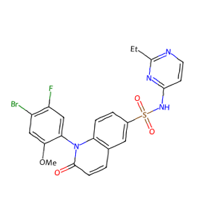 CCc1nccc(NS(=O)(=O)c2ccc3c(ccc(=O)n3-c3cc(F)c(Br)cc3OC)c2)n1